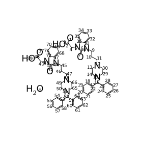 O.O=C(O)Cn1c(=O)n(CCCN2CCN(C(c3ccccc3)c3ccccc3)CC2)c2ccccc21.O=C(O)Cn1c(=O)n(CCCN2CCN(C(c3ccccc3)c3ccccc3)CC2)c2ccccc21